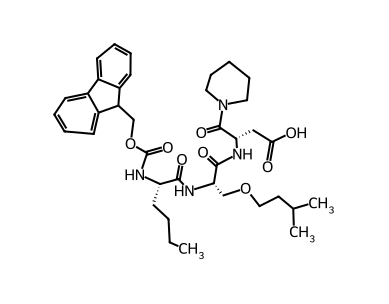 CCCC[C@H](NC(=O)OCC1c2ccccc2-c2ccccc21)C(=O)N[C@@H](COCCC(C)C)C(=O)N[C@@H](CC(=O)O)C(=O)N1CCCCC1